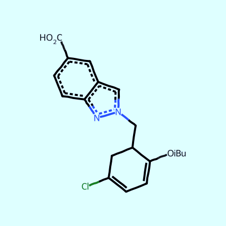 CC(C)COC1=CC=C(Cl)CC1Cn1cc2cc(C(=O)O)ccc2n1